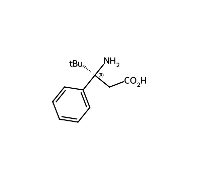 CC(C)(C)[C@](N)(CC(=O)O)c1ccccc1